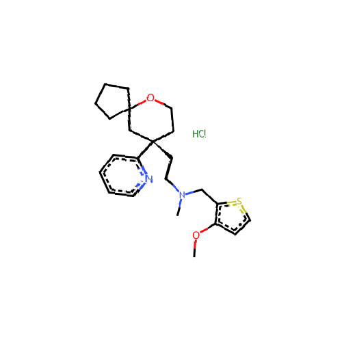 COc1ccsc1CN(C)CC[C@]1(c2ccccn2)CCOC2(CCCC2)C1.Cl